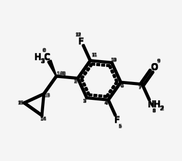 C[C@@H](c1cc(F)c(C(N)=O)cc1F)C1CC1